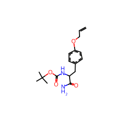 C=CCOc1ccc(CC(NC(=O)OC(C)(C)C)C(N)=O)cc1